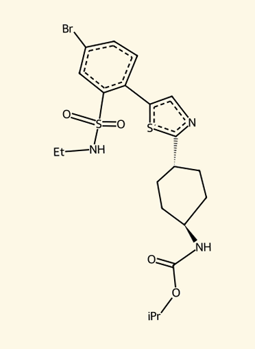 CCNS(=O)(=O)c1cc(Br)ccc1-c1cnc([C@H]2CC[C@H](NC(=O)OC(C)C)CC2)s1